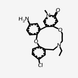 CCN1CCOc2cc(=O)n(C)cc2-c2cc(N)ccc2Oc2ccc(Cl)cc2C1